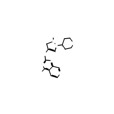 CN1CC(Oc2nc(O)c3ccncc3n2)=CN1C1CCNCC1